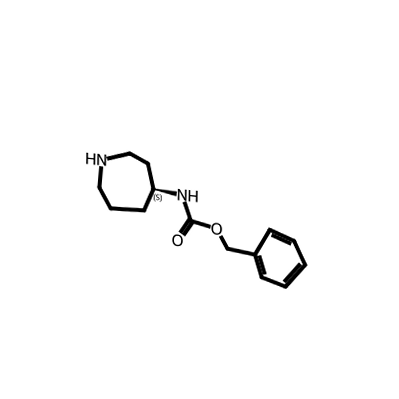 O=C(N[C@H]1CCCNCC1)OCc1ccccc1